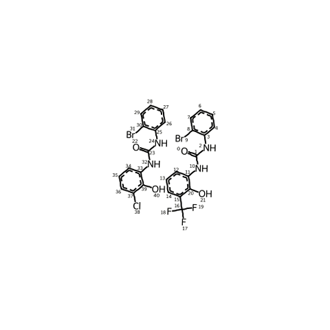 O=C(Nc1ccccc1Br)Nc1cccc(C(F)(F)F)c1O.O=C(Nc1ccccc1Br)Nc1cccc(Cl)c1O